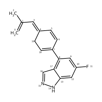 C=C(C)/C=C1/C=CC(c2cc(F)cc3[nH]ncc23)=CC1